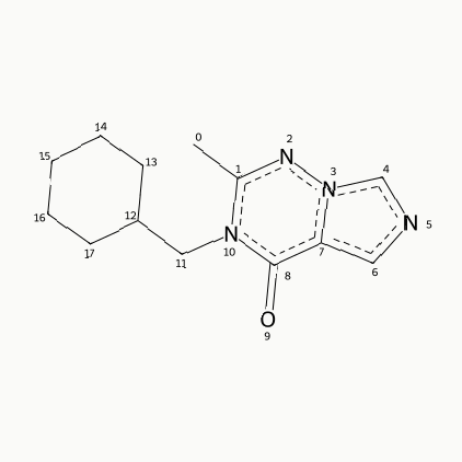 Cc1nn2cncc2c(=O)n1CC1CCCCC1